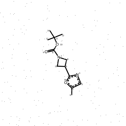 Cc1cnc(C2CN(C(=O)OC(C)(C)C)C2)o1